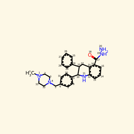 CN1CCN(Cc2ccc(C3Nc4cccc(C(=O)NN)c4CC3c3ccccc3)cc2)CC1